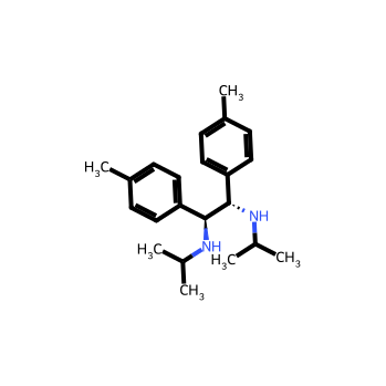 Cc1ccc([C@H](NC(C)C)[C@@H](NC(C)C)c2ccc(C)cc2)cc1